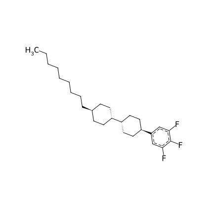 CCCCCCCCC[C@H]1CC[C@H]([C@H]2CC[C@H](c3cc(F)c(F)c(F)c3)CC2)CC1